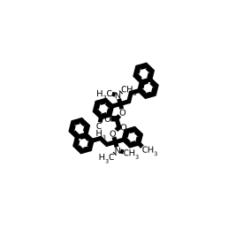 Cc1cccc(C(CCc2cccc3ccccc23)(OC(=O)C(=O)OC(CCc2cccc3ccccc23)(c2cccc(C)c2)N(C)C)N(C)C)c1